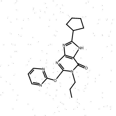 CCCn1c(Oc2ncccn2)nc2nc(C3CCCC3)[nH]c2c1=O